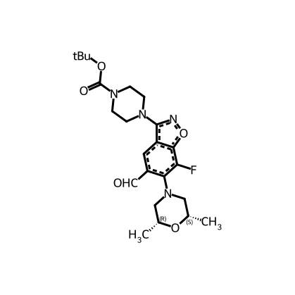 C[C@@H]1CN(c2c(C=O)cc3c(N4CCN(C(=O)OC(C)(C)C)CC4)noc3c2F)C[C@H](C)O1